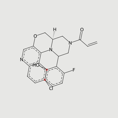 C=CC(=O)N1CC(c2c(O)cccc2F)N2c3c(cnc4ccc(Cl)cc34)OC[C@H]2C1